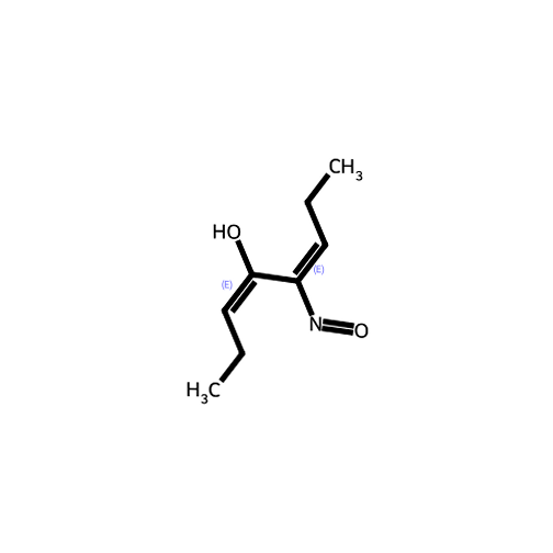 CC/C=C(O)\C(=C/CC)N=O